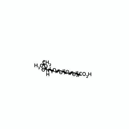 C=C(C)OC(=O)NCCOCCOCCOCCOCCC(=O)O